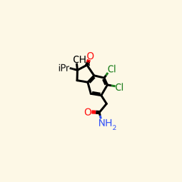 CC(C)C1(C)Cc2cc(CC(N)=O)c(Cl)c(Cl)c2C1=O